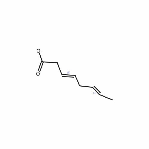 C/C=C/C/C=C/CC([O])=O